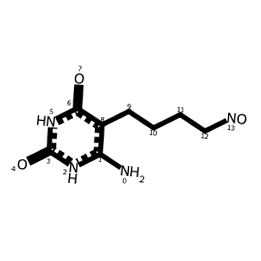 Nc1[nH]c(=O)[nH]c(=O)c1CCCCN=O